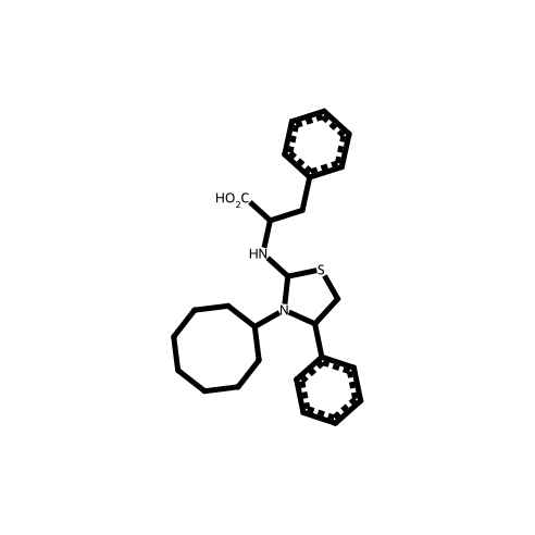 O=C(O)C(Cc1ccccc1)NC1SCC(c2ccccc2)N1C1CCCCCCC1